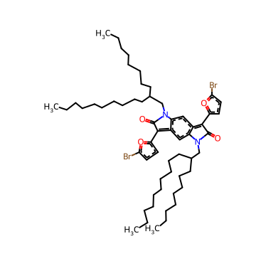 CCCCCCCCCCC(CCCCCCCC)CN1C(=O)C(c2ccc(Br)o2)=c2cc3c(cc21)=C(c1ccc(Br)o1)C(=O)N3CC(CCCCCCCC)CCCCCCCCCC